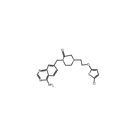 Nc1ncnc2cc(CN3CCN(CCOc4ccc(Cl)s4)CC3=O)ccc12